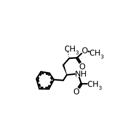 COC(=O)[C@@H](C)C[C@H](Cc1ccccc1)NC(C)=O